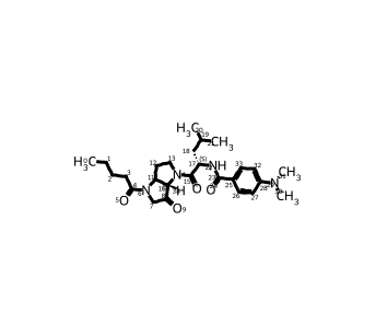 CCCCC(=O)N1CC(=O)[C@@H]2C1CCN2C(=O)[C@H](CC(C)C)NC(=O)c1ccc(N(C)C)cc1